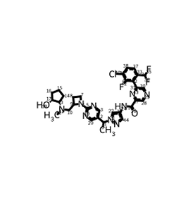 CC(c1cnc(N2CCC2CN(C)[C@H]2CCC[C@@H]2O)nc1)n1cc(NC(=O)c2cncc(-c3c(C(F)F)ccc(Cl)c3F)n2)cn1